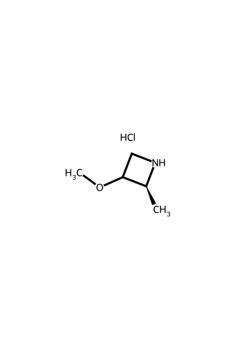 COC1CN[C@H]1C.Cl